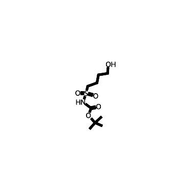 CC(C)(C)OC(=O)NS(=O)(=O)CCCCO